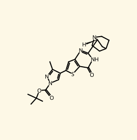 Cc1nn(C(=O)OC(C)(C)C)cc1-c1cc2nc([C@H]3CC4CCN3CC4)[nH]c(=O)c2s1